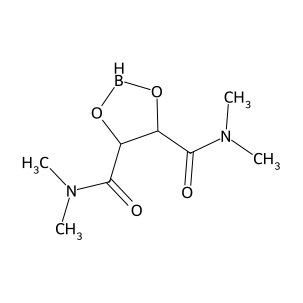 CN(C)C(=O)C1OBOC1C(=O)N(C)C